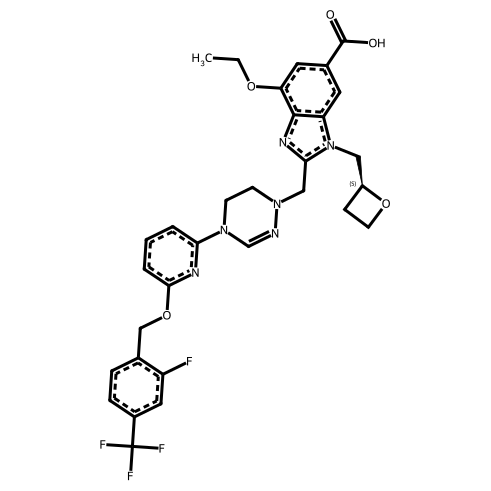 CCOc1cc(C(=O)O)cc2c1nc(CN1CCN(c3cccc(OCc4ccc(C(F)(F)F)cc4F)n3)C=N1)n2C[C@@H]1CCO1